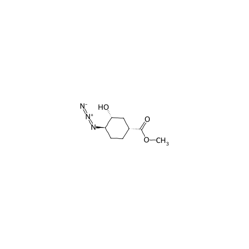 COC(=O)[C@@H]1CC[C@@H](N=[N+]=[N-])[C@H](O)C1